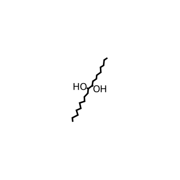 CCCCCCCCCC(O)C(O)CCCCCCCC